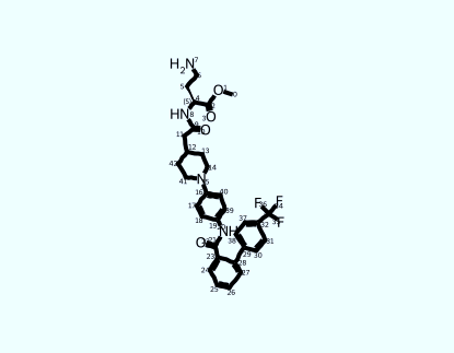 COC(=O)[C@H](CCN)NC(=O)CC1CCN(c2ccc(NC(=O)c3ccccc3-c3ccc(C(F)(F)F)cc3)cc2)CC1